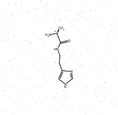 C[C@H](N)C(=O)NCCc1c[nH]cn1